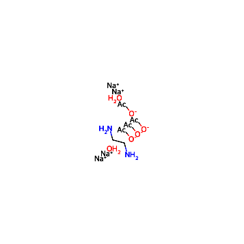 CC(=O)[O-].CC(=O)[O-].CC(=O)[O-].CC(=O)[O-].NCCN.O.O.[Na+].[Na+].[Na+].[Na+]